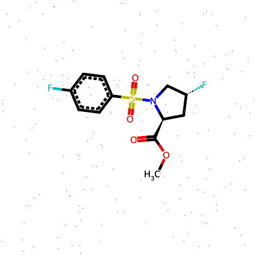 COC(=O)[C@@H]1C[C@@H](F)CN1S(=O)(=O)c1ccc(F)cc1